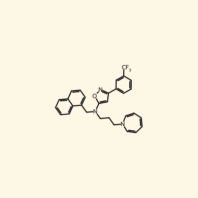 FC(F)(F)c1cccc(-c2cc(N(CCCN3C=CC=CC=C3)Cc3cccc4ccccc34)on2)c1